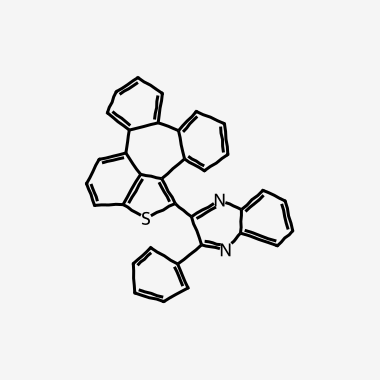 c1ccc(-c2nc3ccccc3nc2-c2sc3cccc4c3c2-c2ccccc2-c2ccccc2-4)cc1